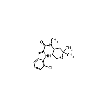 CN(C(=O)c1cc2cccc(Cl)c2[nH]1)C1CCOC(C)(C)C1